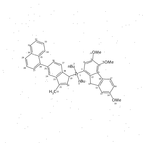 CCC[CH2][Zr]([CH2]CCC)([c]1cc(OC)c(OC)c2c1Cc1cc(OC)ccc1-2)[CH]1C=C(C)c2cc(-c3cccc4ccccc34)ccc21